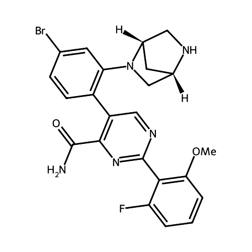 COc1cccc(F)c1-c1ncc(-c2ccc(Br)cc2N2C[C@@H]3C[C@H]2CN3)c(C(N)=O)n1